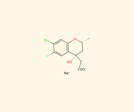 C[C@@H]1C[C@@](O)(CC(=O)[O-])c2cc(F)c(Cl)cc2O1.[Na+]